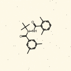 Cc1cc(C)cc(C(=O)N(NC(=O)c2c(C)cccc2C)C(C)(C)C)c1